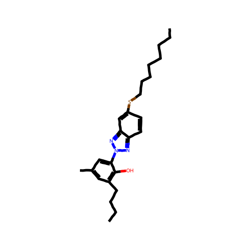 CCCCCCCCSc1ccc2nn(-c3cc(C)cc(CCCC)c3O)nc2c1